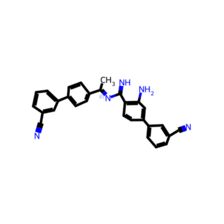 C/C(=N\C(=N)c1ccc(-c2cccc(C#N)c2)cc1N)c1ccc(-c2cccc(C#N)c2)cc1